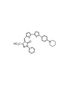 O=C(O)C1=NN(c2ccccc2)C(=O)/C1=C\c1ccc(-c2ccc(-c3ccc(N4CCCCC4)cc3)s2)s1